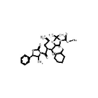 C=CCC(C(=O)N1C(=O)OC(c2ccccc2)C1C)C(O)C1OC(C)(C)N(C(=O)OC(C)(C)C)[C@@H]1CC1CCCCC1